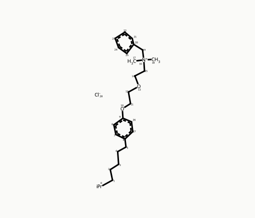 CC(C)CCCCCc1ccc(OCCOCC[N+](C)(C)Cc2ccccc2)cc1.[Cl-]